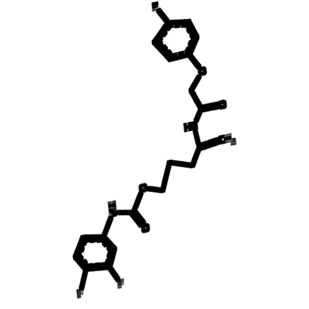 C=C(CCCOC(=O)Nc1ccc(F)c(F)c1)NC(=O)COc1ccc(F)cc1